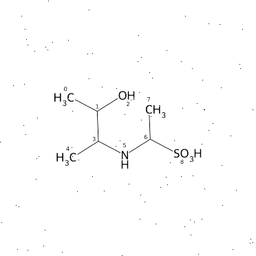 CC(O)C(C)NC(C)S(=O)(=O)O